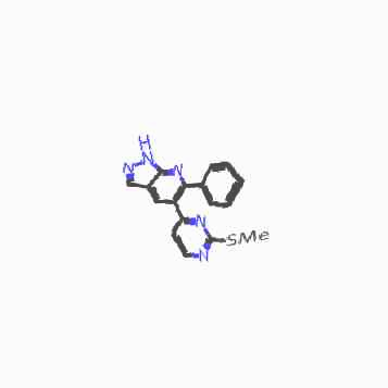 CSc1nccc(-c2cc3cn[nH]c3nc2-c2ccccc2)n1